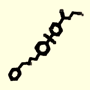 CCOC(=O)c1ccc(S(=O)(=O)c2ccc(CCNCc3ccccc3)cc2)nc1